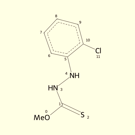 COC(=S)NNc1ccccc1Cl